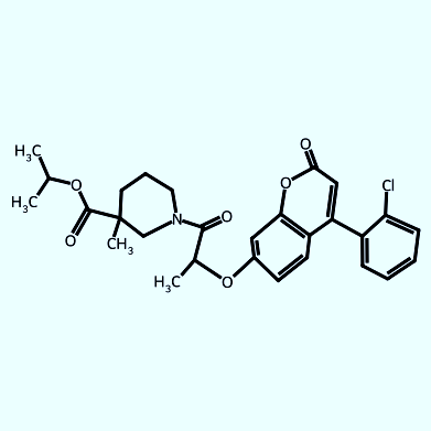 CC(C)OC(=O)C1(C)CCCN(C(=O)C(C)Oc2ccc3c(-c4ccccc4Cl)cc(=O)oc3c2)C1